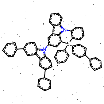 c1ccc(-c2ccc([Si]3(c4ccccc4)c4ccccc4-n4c5ccccc5c5cc(-n6c7ccc(-c8ccccc8)cc7c7cc(-c8ccccc8)ccc76)cc3c54)cc2)cc1